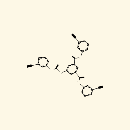 C#Cc1cccc(NC(=O)c2cc(NC(=O)Oc3cccc(C#C)c3)cc(C(=O)Nc3cccc(C#C)c3)c2)c1